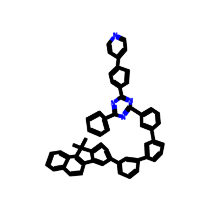 CC1(C)c2ccc(-c3cccc(-c4cccc(-c5cccc(-c6nc(-c7ccccc7)nc(-c7ccc(-c8ccncc8)cc7)n6)c5)c4)c3)cc2-c2ccc3ccccc3c21